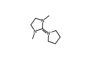 CN1CCN(C)C1=[N+]1CCCC1